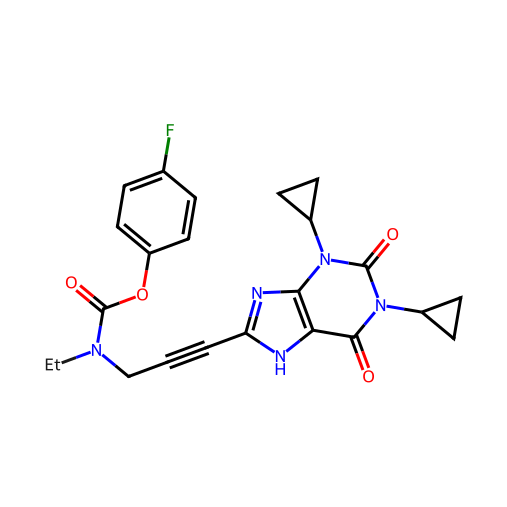 CCN(CC#Cc1nc2c([nH]1)c(=O)n(C1CC1)c(=O)n2C1CC1)C(=O)Oc1ccc(F)cc1